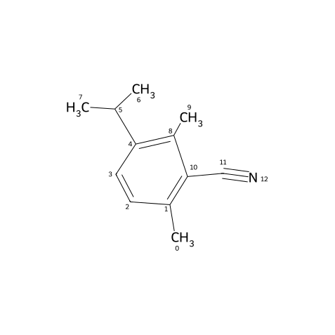 Cc1ccc(C(C)C)c(C)c1C#N